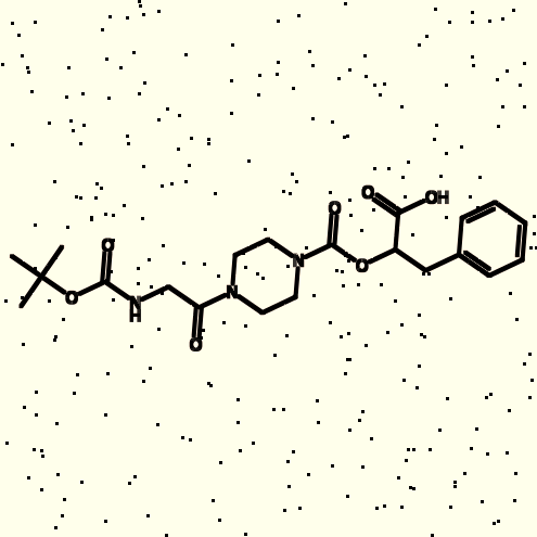 CC(C)(C)OC(=O)NCC(=O)N1CCN(C(=O)OC(Cc2ccccc2)C(=O)O)CC1